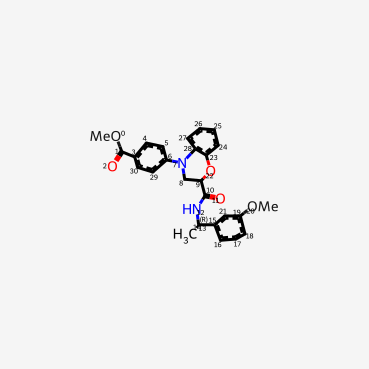 COC(=O)c1ccc(N2CC(C(=O)N[C@H](C)c3cccc(OC)c3)Oc3ccccc32)cc1